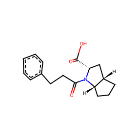 O=C(O)[C@@H]1C[C@@H]2CCC[C@@H]2N1C(=O)CCc1ccccc1